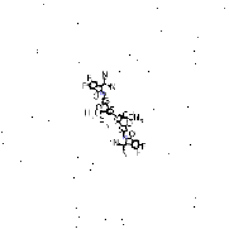 CC1(C)Oc2cc(/C=C3\C(=O)c4cc(F)c(F)cc4C3=C(C#N)C#N)sc2-c2sc(-c3cc4c(s3)-c3sc(/C=C5\C(=O)c6cc(F)c(F)cc6C5=C(C#N)C#N)cc3OC4(C)C)cc21